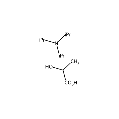 CC(C)N(C(C)C)C(C)C.CC(O)C(=O)O